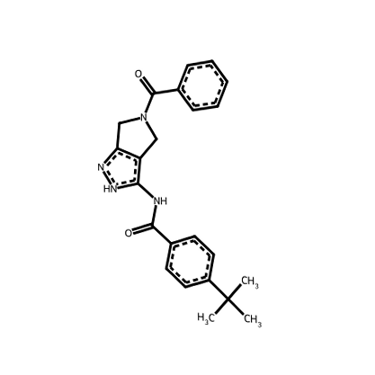 CC(C)(C)c1ccc(C(=O)Nc2[nH]nc3c2CN(C(=O)c2ccccc2)C3)cc1